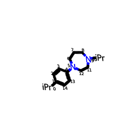 CC(C)c1ccc(N2CCCN(C(C)C)CC2)cc1